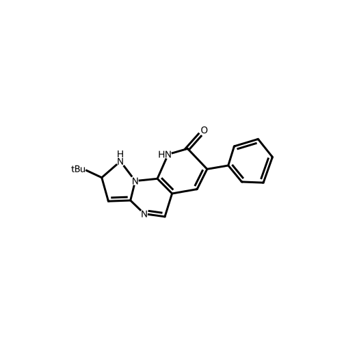 CC(C)(C)C1C=C2N=Cc3cc(-c4ccccc4)c(=O)[nH]c3N2N1